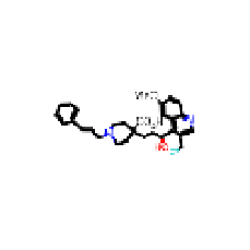 COc1ccc2ncc(CF)c(C(O)CCC3(C(=O)O)CCN(CCCc4ccccc4)CC3)c2c1